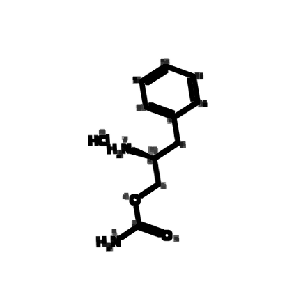 Cl.NC(=O)OC[C@@H](N)Cc1ccccc1